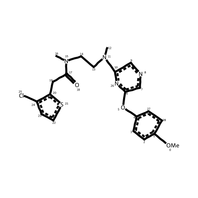 COc1ccc(Oc2cncc(N(C)CCN(C)C(=O)Cc3sccc3Cl)n2)cc1